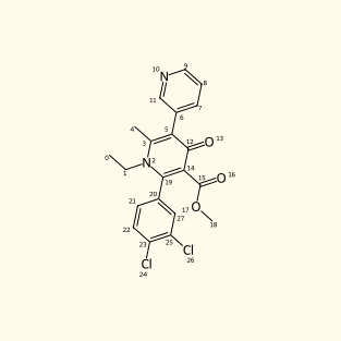 CCn1c(C)c(-c2cccnc2)c(=O)c(C(=O)OC)c1-c1ccc(Cl)c(Cl)c1